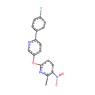 Cc1nc(Oc2ccc(-c3ccc(F)cc3)nc2)ccc1[N+](=O)[O-]